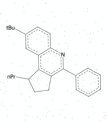 CCCC1CCc2c(-c3ccccc3)nc3ccc(C(C)(C)C)cc3c21